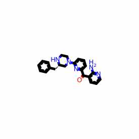 Nc1ncccc1C(=O)c1cccc(N2CCN[C@@H](Cc3ccccc3)C2)n1